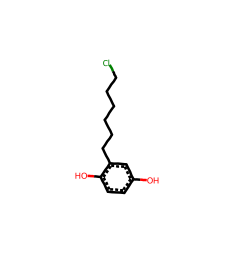 Oc1ccc(O)c(CCCCCCCl)c1